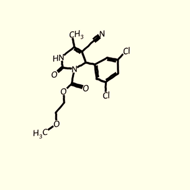 COCCOC(=O)N1C(=O)NC(C)=C(C#N)C1c1cc(Cl)cc(Cl)c1